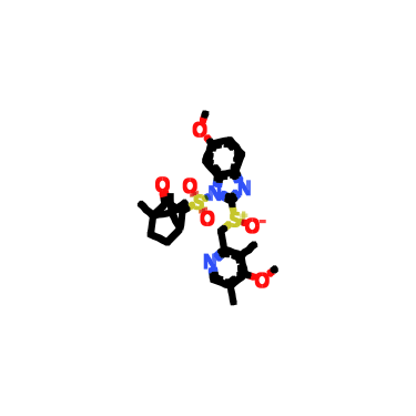 COc1ccc2nc([S+]([O-])Cc3ncc(C)c(OC)c3C)n(S(=O)(=O)C3C(=O)C4(C)CCC3C4(C)C)c2c1